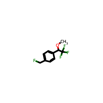 COC(c1ccc(CF)cc1)C(F)(F)F